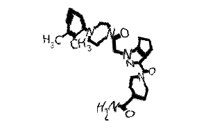 Cc1cccc(N2CCN(C(=O)Cn3nc(C(=O)N4CCC(C(N)=O)CC4)c4c3CCC4)CC2)c1C